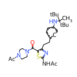 CC(=O)Nc1nc(CCc2ccc(NC(C)(C(C)(C)C)C(C)(C)C)cc2)c(C(=O)N2CCN(C(C)=O)CC2)s1